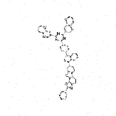 c1ccc(-c2nc3ccc4c5ccc(-c6ccc(-c7ccc(-c8nc(-c9cnc%10cccnc%10c9)nc(-c9cnc%10cccnc%10c9)n8)cc7)c7ccccc67)cc5oc4c3o2)cc1